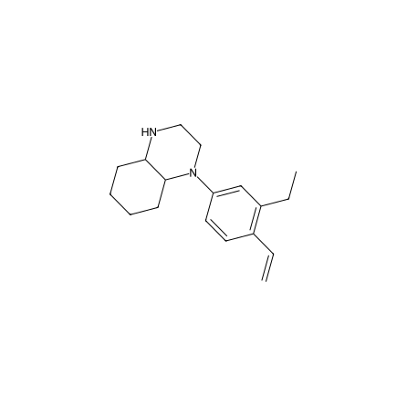 C=Cc1ccc(N2CCNC3CCCCC32)cc1CC